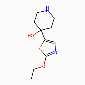 CCOc1ncc(C2(O)CCNCC2)s1